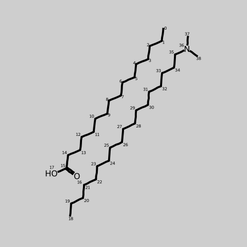 CCCCCCCCCCCCCCCC(=O)O.CCCCCCCCCCCCCCCCCCN(C)C